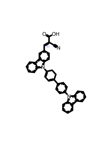 N#C/C(=C\c1ccc2c(c1)c1ccccc1n2C1=CC=C(c2ccc(-n3c4ccccc4c4ccccc43)cc2)CC1)C(=O)O